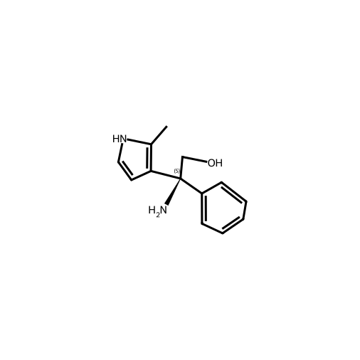 Cc1[nH]ccc1[C@](N)(CO)c1ccccc1